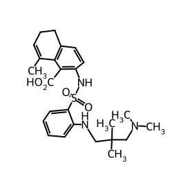 CC1=CCCc2ccc(NS(=O)(=O)c3ccccc3NCC(C)(C)CN(C)C)c(C(=O)O)c21